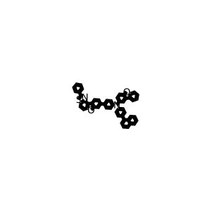 c1ccc(-c2nc3c(ccc4oc5cc(-c6ccc(N(c7ccc(-c8cccc9ccccc89)cc7)c7ccc8oc9ccccc9c8c7)cc6)ccc5c43)s2)cc1